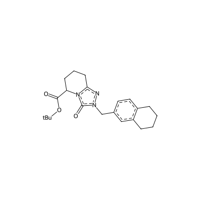 CC(C)(C)OC(=O)C1CCCc2nn(Cc3ccc4c(c3)CCCC4)c(=O)n21